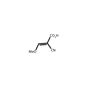 CO/C=C(\C#N)C(=O)O